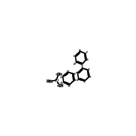 OP(O)O.c1ccccc1.c1ccccc1.c1ccccc1